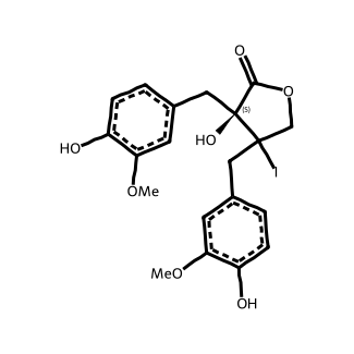 COc1cc(CC2(I)COC(=O)[C@@]2(O)Cc2ccc(O)c(OC)c2)ccc1O